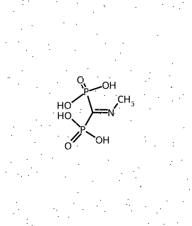 CN=C(P(=O)(O)O)P(=O)(O)O